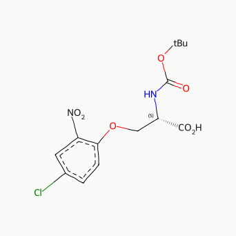 CC(C)(C)OC(=O)N[C@@H](COc1ccc(Cl)cc1[N+](=O)[O-])C(=O)O